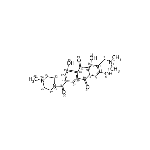 CN(C)Cc1c(O)cc2c(c1O)C(=O)c1c(O)cc(C(=O)N3CCN(C)CC3)cc1C2=O